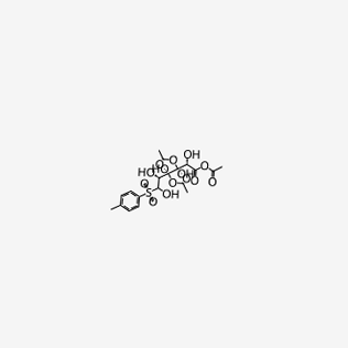 CC(=O)OC(=O)[C@H](O)[C@](O)(OC(C)=O)[C@@](O)(OC(C)=O)[C@H](O)C(O)S(=O)(=O)c1ccc(C)cc1